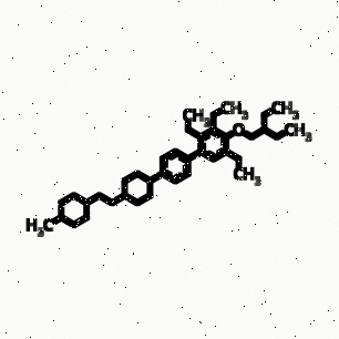 CCc1cc(-c2ccc(C3CCC(CCC4CCC(C)CC4)CC3)cc2)c(CC)c(CC)c1OCC(CC)CC